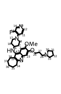 COc1cc2c(NC3CCN(c4ccncc4F)CC3)c3c(nc2cc1OCCCN1CCCC1)CCCCC3